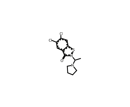 CC(N1CCCC1)n1sc2cc(Cl)c(Cl)cc2c1=O